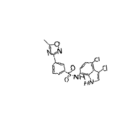 Cc1nc(-c2cccc(S(=O)(=O)Nc3ccc(Cl)c4c(Cl)c[nH]c34)c2)no1